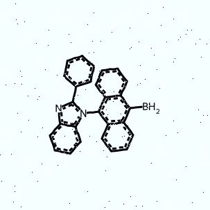 Bc1c2ccccc2c(-n2c(-c3ccccc3)nc3ccccc32)c2ccccc12